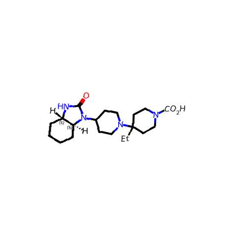 CCC1(N2CCC(N3C(=O)N[C@H]4CCCC[C@@H]43)CC2)CCN(C(=O)O)CC1